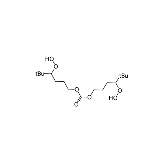 CC(C)(C)C(CCCOC(=O)OCCCC(OO)C(C)(C)C)OO